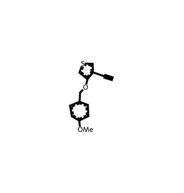 C#Cc1cscc1OCc1ccc(OC)cc1